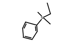 CC[Si](C)(C)c1cc[c]cc1